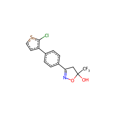 OC1(C(F)(F)F)CC(c2ccc(-c3ccsc3Cl)cc2)=NO1